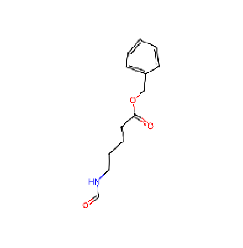 O=CNCCCCC(=O)OCc1ccccc1